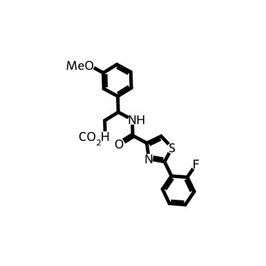 COc1cccc(C(CC(=O)O)NC(=O)c2csc(-c3ccccc3F)n2)c1